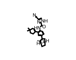 C[C@H]1C(c2ccc(NC(=O)c3nc(C#N)c[nH]3)c(C3=CCC(C)(C)CC3)c2)C[C@H]2CC[C@@H]1O2